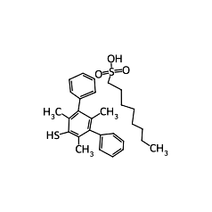 CCCCCCCCS(=O)(=O)O.Cc1c(S)c(C)c(-c2ccccc2)c(C)c1-c1ccccc1